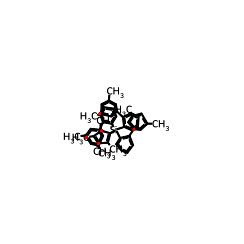 CC1=C(C)C(C)C([Si](c2ccccc2-c2cc(C)cc(C)c2)(c2ccccc2-c2cc(C)cc(C)c2)c2ccccc2-c2cc(C)cc(C)c2)=C1C